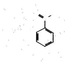 Cl.Cl.Cl.O=[N+]([O-])c1ccccc1